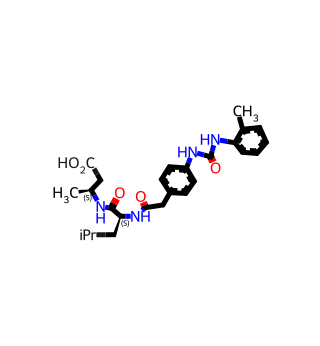 Cc1ccccc1NC(=O)Nc1ccc(CC(=O)N[C@@H](CC(C)C)C(=O)N[C@@H](C)CC(=O)O)cc1